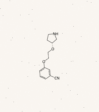 N#Cc1cccc(OCCO[C@@H]2CCNC2)c1